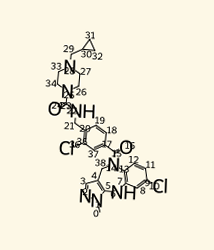 Cn1ncc2c1Nc1cc(Cl)ccc1N(C(=O)c1ccc(CNC(=O)N3CCN(CC4CC4)CC3)c(Cl)c1)C2